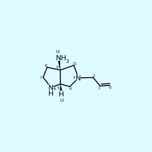 C=CCN1C[C@@H]2NCC[C@]2(N)C1